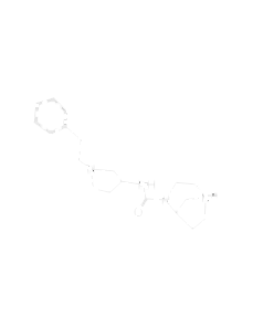 O=C(NC1CCN(CCc2ccccc2)C1)N1CC[N@]2CCC1C2